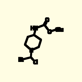 CCC(Cl)N1CCC(NC(=O)OC(C)(C)C)CC1